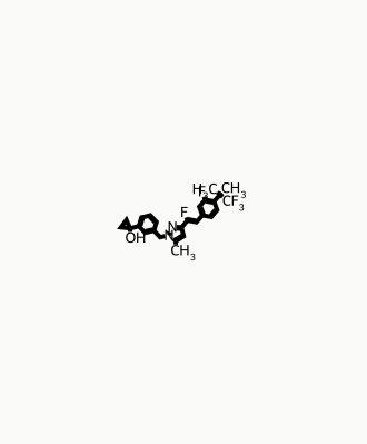 Cc1cc(C(F)=Cc2ccc(C(C)(C)C(F)(F)F)c(F)c2)nn1Cc1cccc(C2(O)CC2)c1